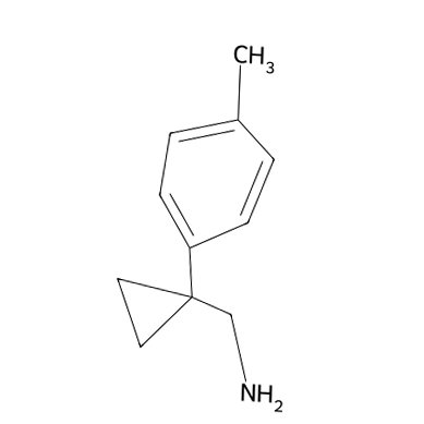 Cc1ccc(C2(CN)CC2)cc1